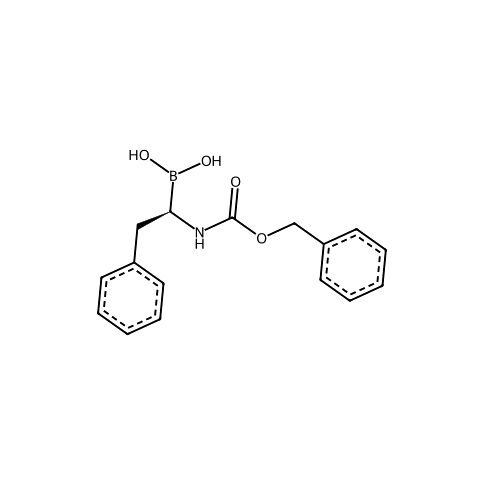 O=C(N[C@@H](Cc1ccccc1)B(O)O)OCc1ccccc1